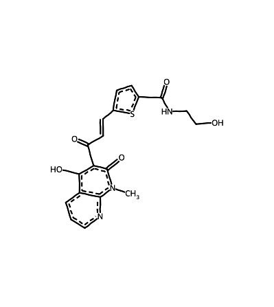 Cn1c(=O)c(C(=O)C=Cc2ccc(C(=O)NCCO)s2)c(O)c2cccnc21